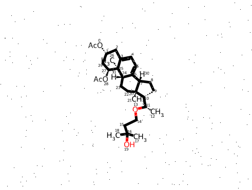 CC(=O)O[C@@H]1CC2=CC=C3[C@@H]4CC[C@H]([C@H](C)OCCC(C)(C)O)[C@@]4(C)CC[C@@H]3[C@@]2(C)[C@@H](OC(C)=O)C1